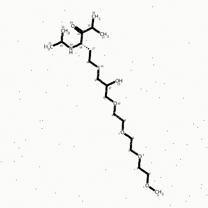 COCCOCCOCCOCC(O)CSCC[C@H](NC(C)C)C(=O)C(C)C